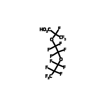 O=C(O)C(F)(OC(F)(F)C(F)(F)OC(F)(F)C(F)(F)C(F)(F)F)C(F)(F)F